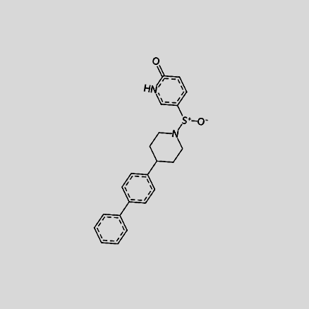 O=c1ccc([S+]([O-])N2CCC(c3ccc(-c4ccccc4)cc3)CC2)c[nH]1